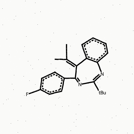 CC(C)=C1C(c2ccc(F)cc2)=NC(C(C)(C)C)=Nc2ccccc21